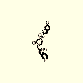 O=C1CN(S(=O)(=O)c2cc3ccc(Cl)cc3s2)CCN1Cc1cc2cnccc2[nH]1